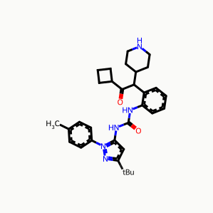 Cc1ccc(-n2nc(C(C)(C)C)cc2NC(=O)Nc2ccccc2C(C(=O)C2CCC2)C2CCNCC2)cc1